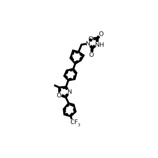 Cc1oc(-c2ccc(C(F)(F)F)cc2)nc1-c1ccc(-c2ccc(Cn3oc(=O)[nH]c3=O)cc2)cc1